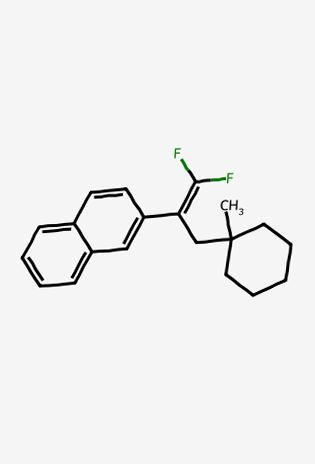 CC1(CC(=C(F)F)c2ccc3ccccc3c2)CCCCC1